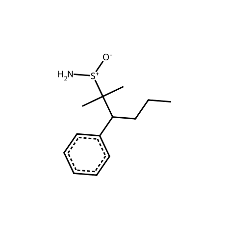 CCCC(c1ccccc1)C(C)(C)[S+](N)[O-]